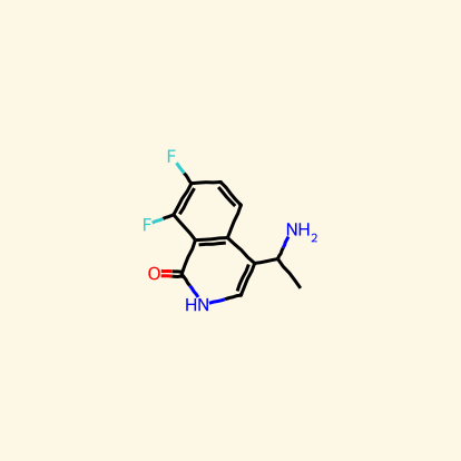 CC(N)c1c[nH]c(=O)c2c(F)c(F)ccc12